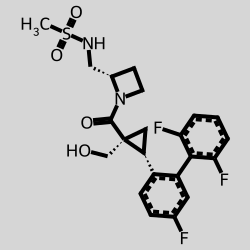 CS(=O)(=O)NC[C@@H]1CCN1C(=O)[C@@]1(CO)C[C@@H]1c1ccc(F)cc1-c1c(F)cccc1F